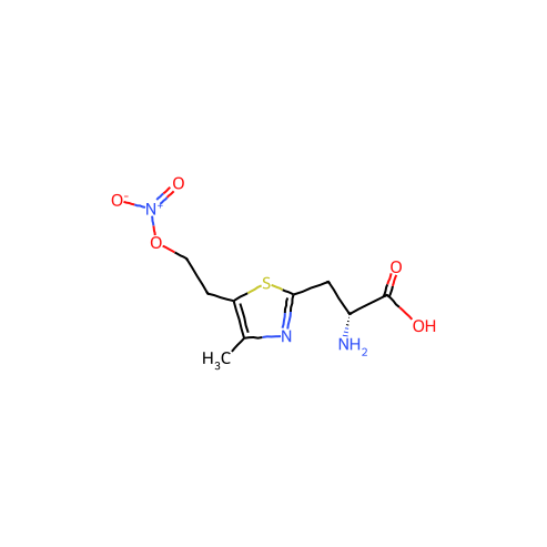 Cc1nc(C[C@@H](N)C(=O)O)sc1CCO[N+](=O)[O-]